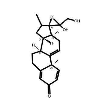 CC1C[C@H]2[C@@H]3CCC4=CC(=O)C=C[C@]4(C)C3=CC[C@]2(C)[C@]12OC2(O)CO